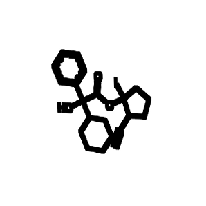 C#CC1CCCC1(I)OC(=O)C(O)(c1ccccc1)C1CCCCC1